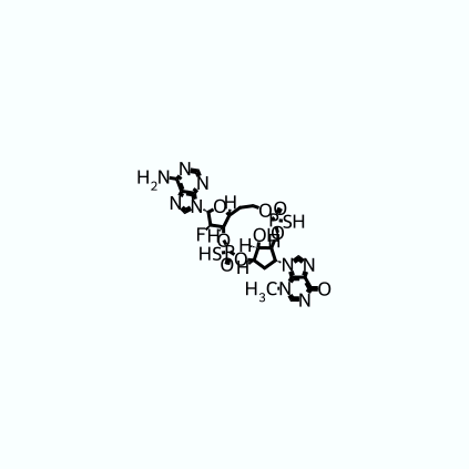 Cn1cnc(=O)c2ncn([C@@H]3C[C@@H]4OP(=O)(S)O[C@H]5[C@@H](F)[C@H](n6cnc7c(N)ncnc76)O[C@@H]5CCOP(=O)(S)O[C@@H]3[C@@H]4O)c21